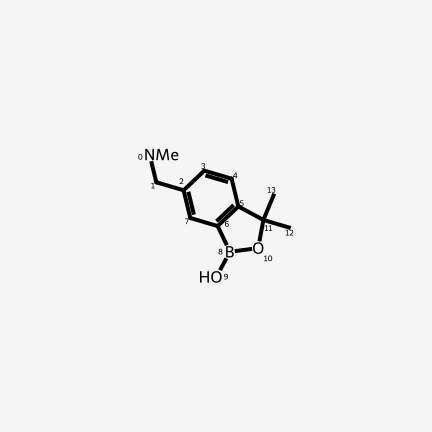 CNCc1ccc2c(c1)B(O)OC2(C)C